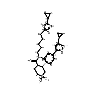 O=C(C1CCS(=O)(=O)CC1)N(CCCCCc1nc(C2CC2)no1)c1cccc(-c2cc(C3CC3)no2)c1